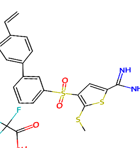 C=Cc1ccc(-c2cccc(S(=O)(=O)c3cc(C(=N)N)sc3SC)c2)cc1.O=C(O)C(F)(F)F